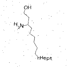 CCCCCCCCCCCCCC(N)CCO